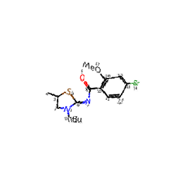 CCCCN1CC(C)S/C1=N\C(=O)c1ccc(Br)cc1OC